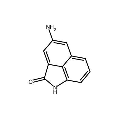 Nc1cc2c3c(cccc3c1)NC2=O